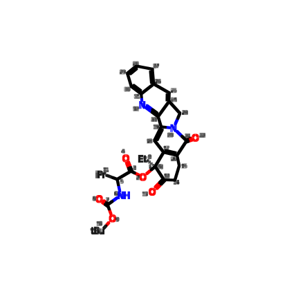 CC[C@@]1(OC(=O)C(NC(=O)OC(C)(C)C)C(C)C)C(=O)CCc2c1cc1n(c2=O)Cc2cc3ccccc3nc2-1